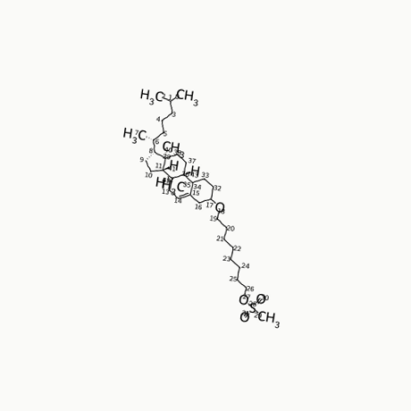 CC(C)CCC[C@@H](C)[C@H]1CC[C@H]2[C@@H]3CC=C4CC(OCCCCCCCCOS(C)(=O)=O)CC[C@]4(C)[C@H]3CC[C@]12C